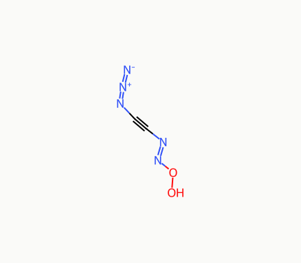 [N-]=[N+]=NC#C/N=N/OO